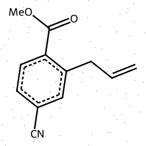 C=CCc1cc(C#N)ccc1C(=O)OC